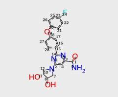 NC(=O)c1cc(N2CC(O)[C@H](O)C2)nc(-c2ccc(Oc3ccc(F)cc3)cc2)n1